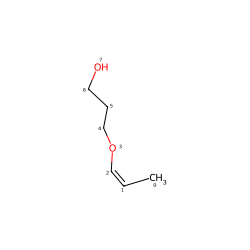 C/C=C\OCCCO